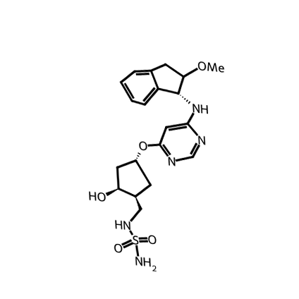 COC1Cc2ccccc2[C@H]1Nc1cc(O[C@@H]2C[C@@H](CNS(N)(=O)=O)[C@@H](O)C2)ncn1